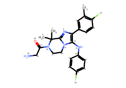 CC1(C)c2nc(-c3ccc(F)c(C(F)(F)F)c3)c(Nc3ccc(F)cc3)n2CCN1C(=O)CN